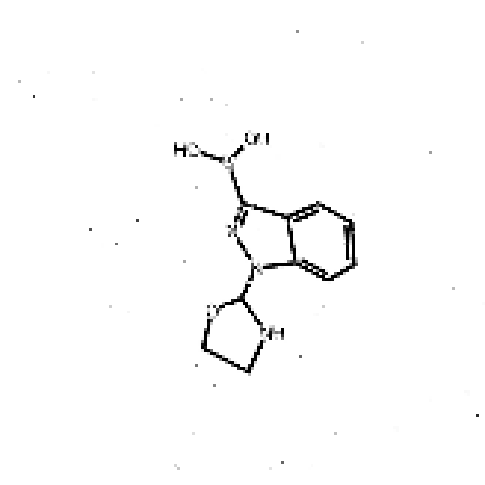 OB(O)c1nn(C2NCCO2)c2ccccc12